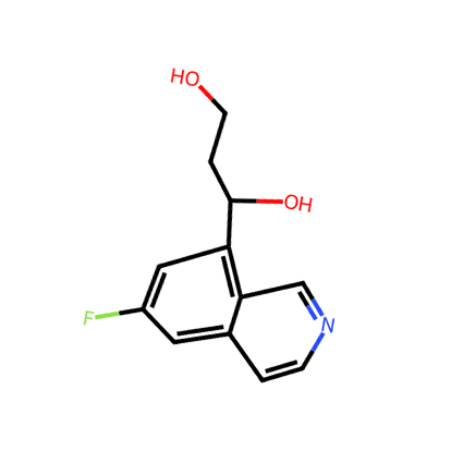 OCCC(O)c1cc(F)cc2ccncc12